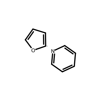 [c]1ccco1.c1ccncc1